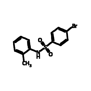 Cc1ccccc1NS(=O)(=O)c1ccc(Br)cc1